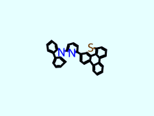 c1cc(-c2ccc3c4ccccc4c4cccc5sc2c3c54)nc(-n2c3ccccc3c3ccccc32)c1